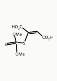 COP(=S)(OC)S/C(=C\C(=O)O)C(=O)O